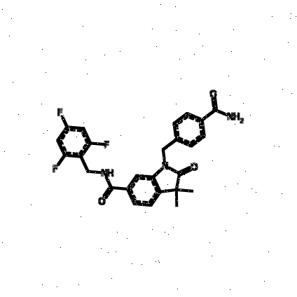 CC1(C)C(=O)N(Cc2ccc(C(N)=O)cc2)c2cc(C(=O)NCc3c(F)cc(F)cc3F)ccc21